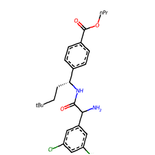 CCCOC(=O)c1ccc([C@@H](CCC(C)(C)C)NC(=O)C(N)c2cc(Cl)cc(Cl)c2)cc1